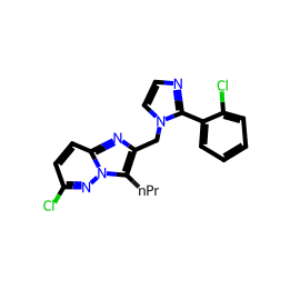 CCCc1c(Cn2ccnc2-c2ccccc2Cl)nc2ccc(Cl)nn12